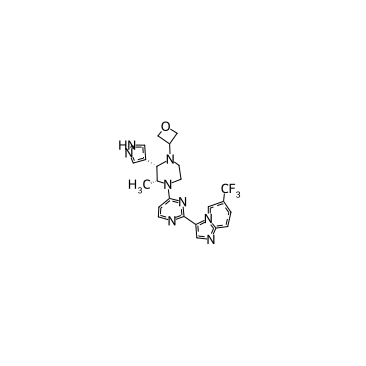 C[C@@H]1[C@H](c2cn[nH]c2)N(C2COC2)CCN1c1ccnc(-c2cnc3ccc(C(F)(F)F)cn23)n1